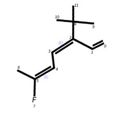 C=C/C(=C\C=C(/C)F)C(C)(C)C